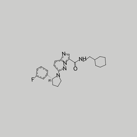 O=C(NCCC1CCCCC1)c1cnc2ccc(N3CCC[C@@H]3c3cccc(F)c3)nn12